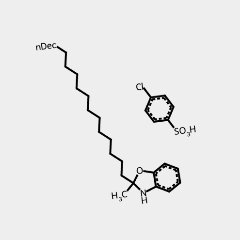 CCCCCCCCCCCCCCCCCCCCCCC1(C)Nc2ccccc2O1.O=S(=O)(O)c1ccc(Cl)cc1